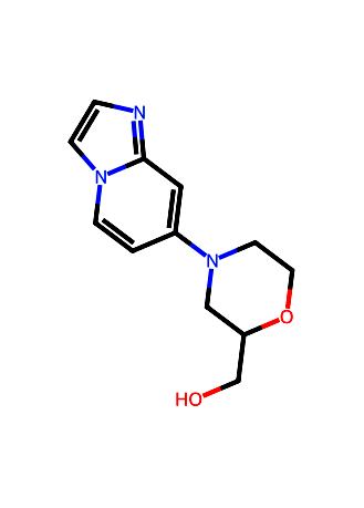 OCC1CN(c2ccn3ccnc3c2)CCO1